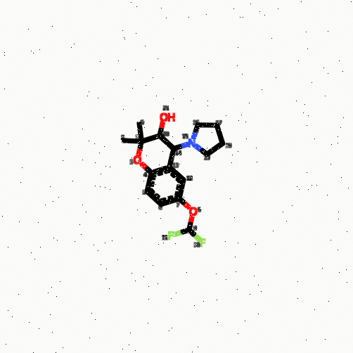 CC1(C)Oc2ccc(OC(F)F)cc2C(N2CCCC2)C1O